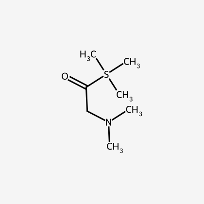 CN(C)CC(=O)S(C)(C)C